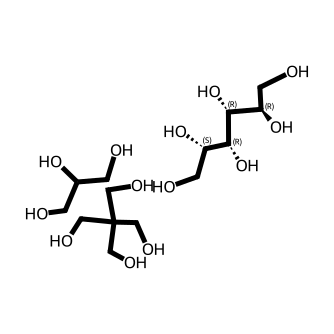 OCC(CO)(CO)CO.OCC(O)CO.OC[C@@H](O)[C@@H](O)[C@H](O)[C@@H](O)CO